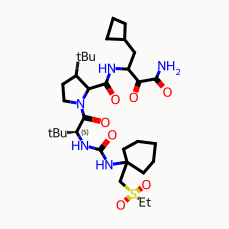 CCS(=O)(=O)CC1(NC(=O)N[C@H](C(=O)N2CCC(C(C)(C)C)C2C(=O)NC(CC2CCC2)C(=O)C(N)=O)C(C)(C)C)CCCCC1